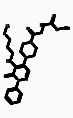 CCOCCCNc1c(N2CCN(C(=O)CNC(=O)OC(C)(C)C)CC2)cnn(-c2ccccc2)c1=O